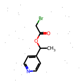 CC(OC(=O)CBr)c1ccncc1